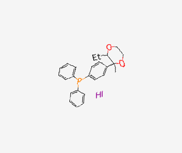 CCC1OCCOC1(C)c1ccc(P(c2ccccc2)c2ccccc2)cc1.I